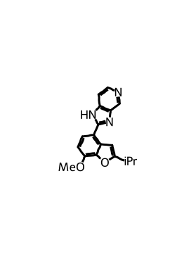 COc1ccc(-c2nc3cnccc3[nH]2)c2cc(C(C)C)oc12